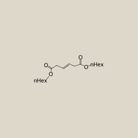 CCCCCCOC(=O)CC=CCC(=O)OCCCCCC